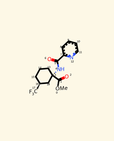 COC(=O)[C@]1(NC(=O)c2ccccn2)CCC[C@H](C(F)(F)F)C1